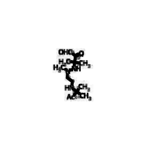 CC(=O)C(C)(C)NCCN(C)NC(C)(C)C(=O)C=O